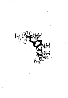 COC(=O)[C@@](C)(Cc1ccc2[nH]c(NS(C)(=O)=O)nc2c1)NC=O